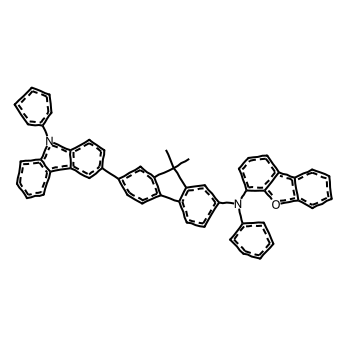 CC1(C)c2cc(-c3ccc4c(c3)c3ccccc3n4-c3ccccc3)ccc2-c2ccc(N(c3ccccc3)c3cccc4c3oc3ccccc34)cc21